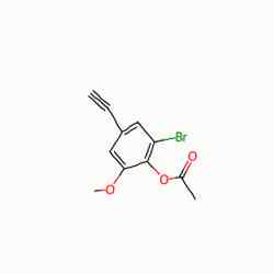 C#Cc1cc(Br)c(OC(C)=O)c(OC)c1